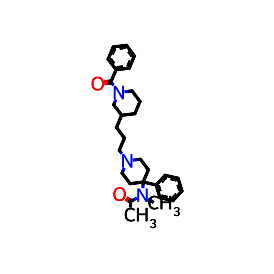 CC(=O)N(C)C1(c2ccccc2)CCN(CCCC2CCCN(C(=O)c3ccccc3)C2)CC1